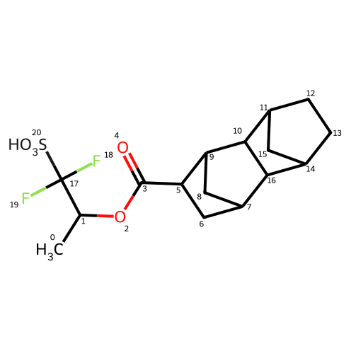 CC(OC(=O)C1CC2CC1C1C3CCC(C3)C21)C(F)(F)S(=O)(=O)O